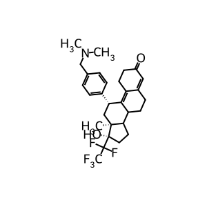 CN(C)Cc1ccc([C@H]2C[C@@]3(C)C(CC[C@@]3(O)C(F)(F)C(F)(F)F)C3CCC4=CC(=O)CCC4=C32)cc1